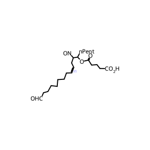 CCCCCC(OC(=O)CCCC(=O)O)C(C/C=C\CCCCCCCC=O)N=O